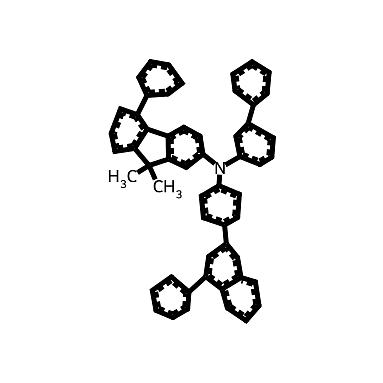 CC1(C)c2cc(N(c3ccc(-c4cc(-c5ccccc5)c5ccccc5c4)cc3)c3cccc(-c4ccccc4)c3)ccc2-c2c(-c3ccccc3)cccc21